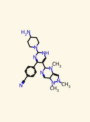 CN1C2=CN(C)N(C)C2C=NC1C1=CNC(N2CCC(N)CC2)N=C1c1ccc(C#N)cc1